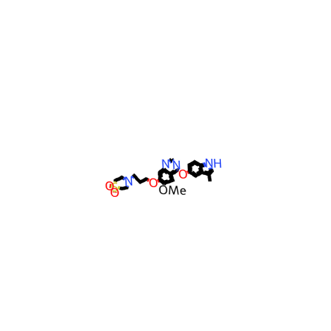 COc1cc2c(Oc3ccc4[nH]cc(C)c4c3)ncnc2cc1OCCCN1CCS(=O)(=O)CC1